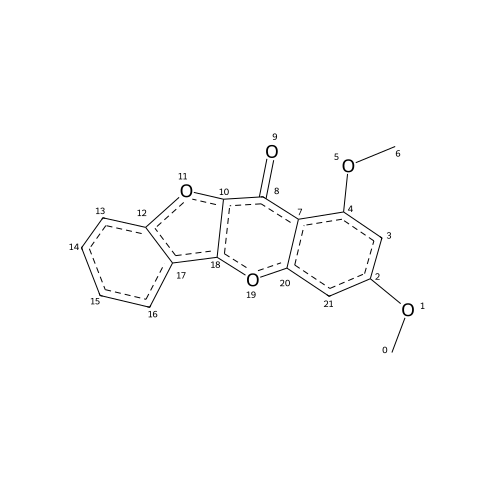 COc1cc(OC)c2c(=O)c3oc4ccccc4c3oc2c1